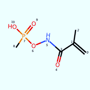 C=C(C)C(=O)NOP(C)(=O)O